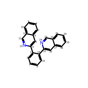 c1ccc(-c2cc3ccccc3cn2)c(-c2cc3ccccc3cn2)c1